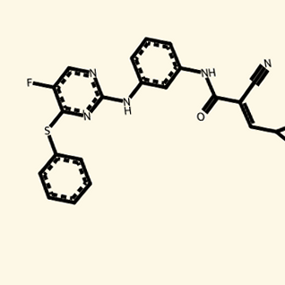 N#CC(=CC1CC1)C(=O)Nc1cccc(Nc2ncc(F)c(Sc3ccccc3)n2)c1